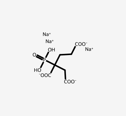 O=C([O-])CCC(CC(=O)[O-])(C(=O)[O-])P(=O)(O)O.[Na+].[Na+].[Na+]